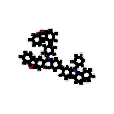 c1ccc(-n2c3cc(-c4ccc(N(c5ccc(-c6cccc7oc8ccccc8c67)cc5)c5ccc6oc7ccccc7c6c5)cc4)ccc3c3ccc4ccccc4c32)cc1